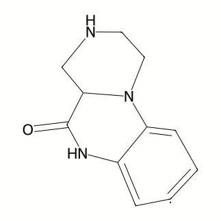 O=C1Nc2c[c]ccc2N2CCNCC12